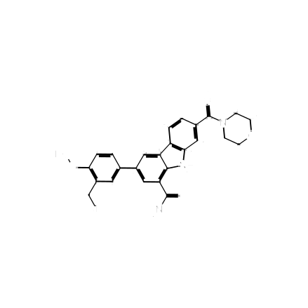 COc1ccc(-c2cc(C(N)=O)c3[nH]c4cc(C(=O)N5CCOCC5)ccc4c3c2)cc1CI